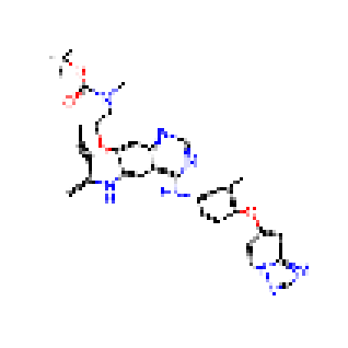 C=C(C#CC)Nc1cc2c(Nc3ccc(Oc4ccn5ncnc5c4)c(C)c3)ncnc2cc1OCCN(C)C(=O)OC(C)(C)C